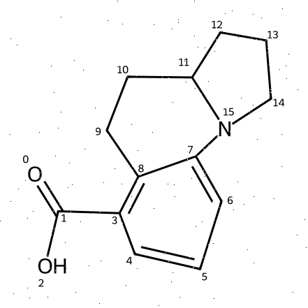 O=C(O)c1cccc2c1CCC1CCCN21